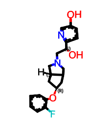 Oc1ccc([C@@H](O)CN2CC3C[C@@H](Oc4ccccc4F)C[C@@H]3C2)nc1